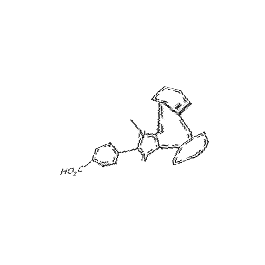 Cn1c(-c2ccc(C(=O)O)cc2)nc2c3ccccc3c3ccccc3c21